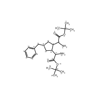 CC(C)(C)OC(=O)C(N)C1CN(Cc2ccccc2)CC1C(N)C(=O)OC(C)(C)C